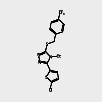 CCn1c(SCc2ccc(C(F)(F)F)cc2)nnc1-c1ccc(Cl)s1